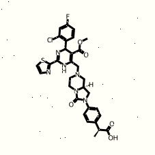 COC(=O)C1=C(CN2CCN3C(=O)N(c4ccc([C@H](C)C(=O)O)cc4)C[C@@H]3C2)NC(c2nccs2)=NC1c1ccc(F)cc1Cl